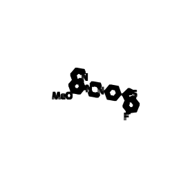 COc1cc(N2CCN([C@H]3CC[C@@H](c4csc5ccc(F)cc54)CC3)CC2)c2ncccc2c1